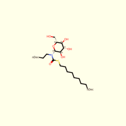 CCCCCCCCCCCCCCCCCCSC(=O)N(CCCCCCCCCCCC)[C@@H]1O[C@H](CO)[C@@H](O)[C@H](O)[C@H]1O